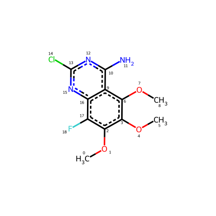 COc1c(OC)c(OC)c2c(N)nc(Cl)nc2c1F